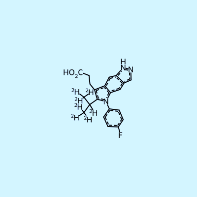 [2H]C([2H])([2H])C([2H])(c1c(CCC(=O)O)c2cc3[nH]ncc3cc2n1-c1ccc(F)cc1)C([2H])([2H])[2H]